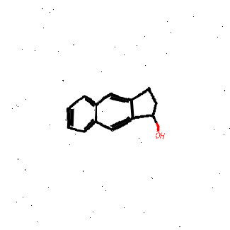 OC1CCc2cc3ccccc3cc21